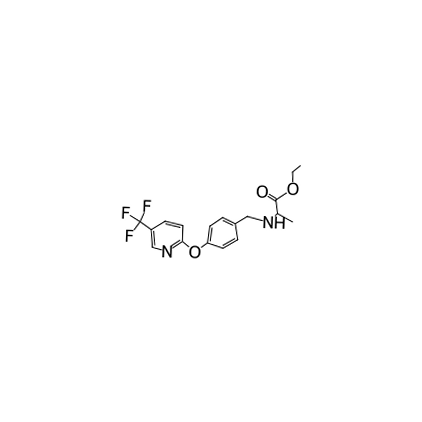 CCOC(=O)C(C)NCc1ccc(Oc2ccc(C(F)(F)F)cn2)cc1